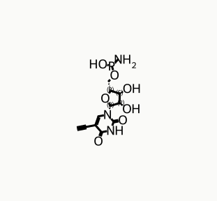 C#Cc1cn([C@@H]2O[C@H](COP(N)O)[C@@H](O)[C@H]2O)c(=O)[nH]c1=O